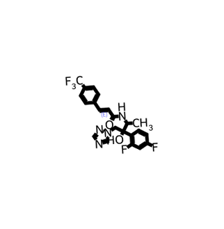 CC(NC(=O)/C=C/c1ccc(C(F)(F)F)cc1)C(O)(Cn1cncn1)c1ccc(F)cc1F